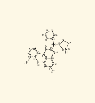 Fc1ccc2c(-c3cccc(F)c3F)nc(N(c3ccccc3)[C@@H]3CCNC3)nc2c1